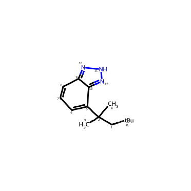 CC(C)(C)CC(C)(C)c1c[c]cc2n[nH]nc12